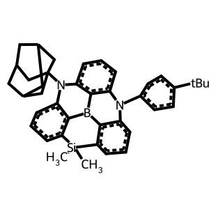 CC(C)(C)c1ccc(N2c3cccc4c3B3c5c2cccc5[Si](C)(C)c2cccc(c23)N4C23CC4CC(CC(C4)C2)C3)cc1